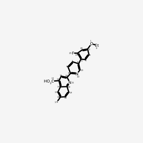 CCOc1ccc(-c2ccc(-c3cc(C(=O)O)c4cc(I)ccc4n3)nc2)c(F)c1